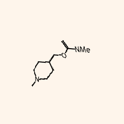 C=C(NC)OCC1CCN(C)CC1